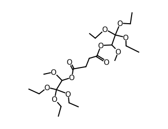 CCOC(OCC)(OCC)C(OC)OC(=O)CCC(=O)OC(OC)C(OCC)(OCC)OCC